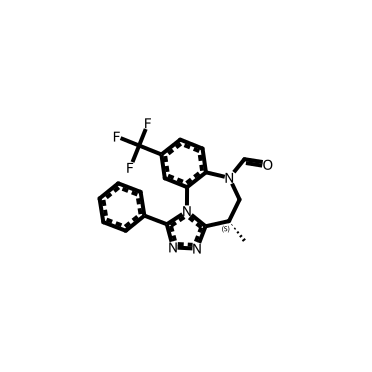 C[C@H]1CN(C=O)c2ccc(C(F)(F)F)cc2-n2c(-c3ccccc3)nnc21